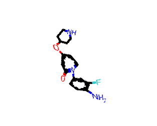 Nc1ccc(-n2ccc(OC3CCNCC3)cc2=O)cc1F